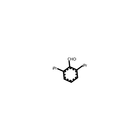 CC(C)c1cccc(C(C)C)c1[C]=O